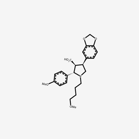 COCCCCN1C[C@H](c2ccc3c(c2)OCO3)[C@H](C(=O)O)[C@H]1c1ccc(OC)cc1